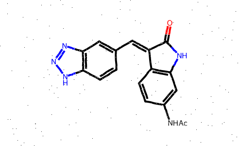 CC(=O)Nc1ccc2c(c1)NC(=O)/C2=C/c1ccc2[nH]nnc2c1